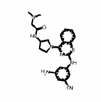 CN(C)CC(=O)NC1CCN(c2nc(Nc3cc(N)cc(C#N)c3)nc3ccccc23)C1